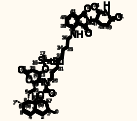 C[C@H]1C=C2C=C[C@H](C)[C@H](CC[C@@H]3C[C@@H](O[Si](C)(C)C(C)(C)C)CC(=O)O3)[C@H]2[C@@H](OC(=O)NCCCCCCCCNc2cccc3c2C(=O)N(C2CCC(=O)NC2=O)C3=O)C1